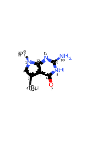 CC(C)n1cc(C(C)(C)C)c2c(=O)[nH]c(N)nc21